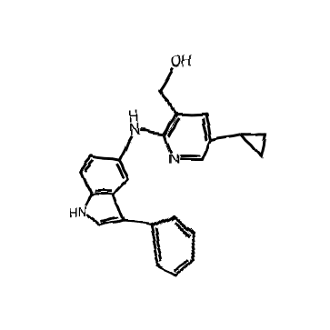 OCc1cc(C2CC2)cnc1Nc1ccc2[nH]cc(-c3ccccc3)c2c1